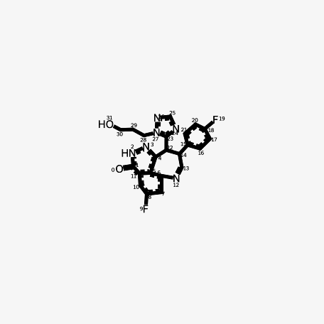 O=c1[nH]nc2c3c(cc(F)cc13)N=CC(c1ccc(F)cc1)C2c1ncnn1CCCO